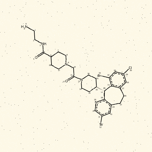 NCCNC(=O)C1CCN(CC(=O)N2CCC([C@H]3c4ncc(Br)cc4CCc4cc(Cl)cc(Br)c43)CC2)CC1